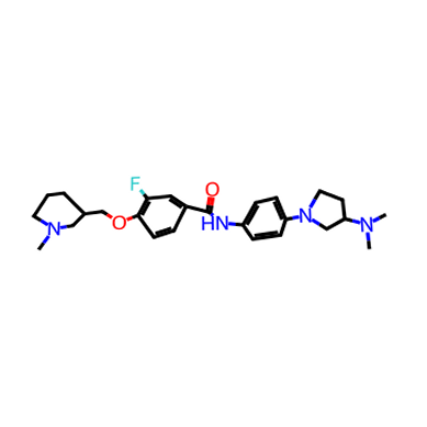 CN1CCCC(COc2ccc(C(=O)Nc3ccc(N4CCC(N(C)C)C4)cc3)cc2F)C1